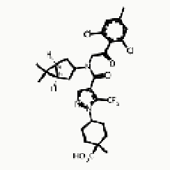 Cc1cc(Cl)c(C(=O)CN(C(=O)c2cnn(C3CCC(C)(C(=O)O)CC3)c2C(F)(F)F)C2C[C@@H]3[C@H](C2)C3(C)C)c(Cl)c1